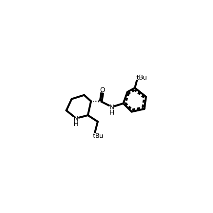 CC(C)(C)CC1NCCC[C@@H]1C(=O)Nc1cccc(C(C)(C)C)c1